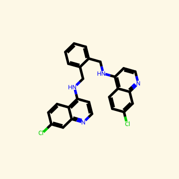 Clc1ccc2c(NCc3ccccc3CNc3ccnc4cc(Cl)ccc34)ccnc2c1